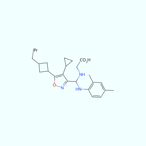 Cc1ccc(NC(NCC(=O)O)c2noc(C3CC(CC(C)C)C3)c2C2CC2)c(C)c1